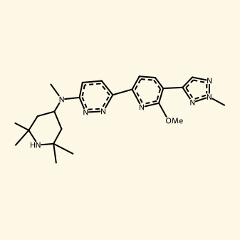 COc1nc(-c2ccc(N(C)C3CC(C)(C)NC(C)(C)C3)nn2)ccc1-c1cnn(C)n1